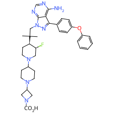 CC(C)(Cn1nc(-c2ccc(Oc3ccccc3)cc2)c2c(N)ncnc21)[C@@H]1CCN(C2CCN(C3CN(C(=O)O)C3)CC2)C[C@@H]1F